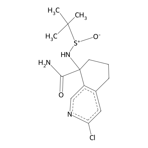 CC(C)(C)[S+]([O-])NC1(C(N)=O)CCCc2cc(Cl)ncc21